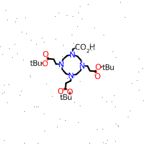 CC(C)(C)OC(=O)CCN1CCN(CCC(=O)OC(C)(C)C)CCN(CC(=O)O)CCN(CCC(=O)OC(C)(C)C)CC1